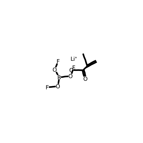 C=C(C)C(=O)[O-].FOB(OF)OF.[Li+]